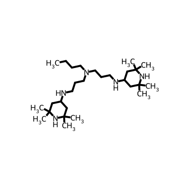 CCCCN(CCCNC1CC(C)(C)NC(C)(C)C1)CCCNC1CC(C)(C)NC(C)(C)C1